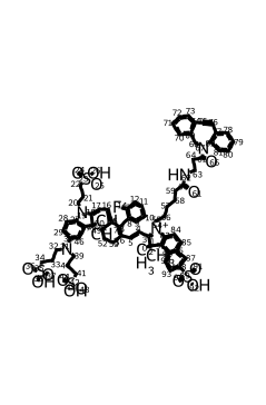 CC1(C)C(/C=C/C2=C(c3ccccc3F)C(=C/C=C3/N(CCCS(=O)(=O)O)c4ccc(N(CCCS(=O)(=O)O)CCCS(=O)(=O)O)cc4C3(C)C)/CCC2)=[N+](CCCCCC(=O)NCCC(=O)N2Cc3ccccc3C#Cc3ccccc32)c2ccc3cc(S(=O)(=O)O)ccc3c21